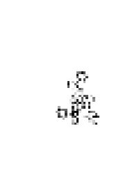 O=C(N[C@@H](CC1CCCCC1)C(=O)N1CCC2[C@H]1C(=O)CN2C(=O)c1ccccc1)c1ccccc1